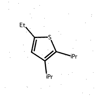 CCc1cc(C(C)C)c(C(C)C)s1